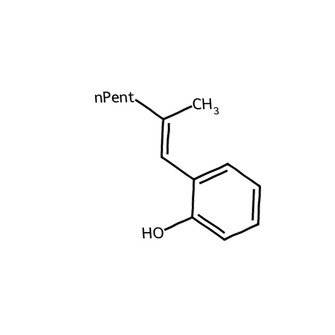 CCCCCC(C)=Cc1ccccc1O